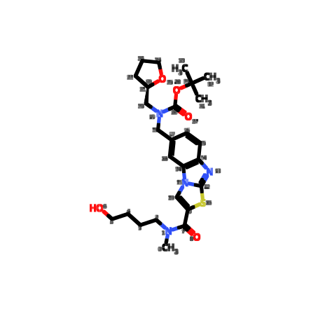 CN(CCCCO)C(=O)c1cn2c(nc3ccc(CN(C[C@H]4CCCO4)C(=O)OC(C)(C)C)cc32)s1